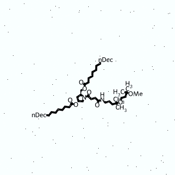 CCCCCCCCCCCCCCCCCC(=O)OC[C@@H]1C[C@@H](OC(=O)CCCCCCCCCCCCCCCCC)CN1C(=O)CCC(=O)NCCCC(C)(C)OCCC(C)(C)OC